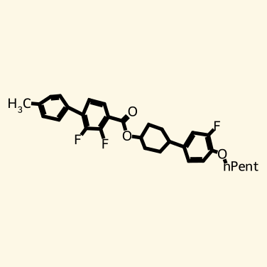 CCCCCOc1ccc(C2CCC(OC(=O)c3ccc(-c4ccc(C)cc4)c(F)c3F)CC2)cc1F